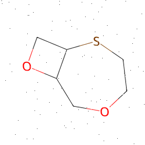 C1CSC2COC2CO1